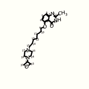 Cc1nc2cccc(OCCCCCCCN3CCN(C4COC4)CC3)c2c(=O)[nH]1